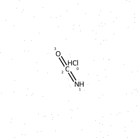 Cl.N=C=O